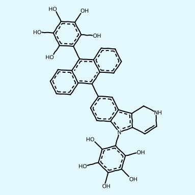 Oc1c(O)c(O)c(-c2c3ccccc3c(-c3ccc4c(c3)c3c(n4-c4c(O)c(O)c(O)c(O)c4O)C=CNC3)c3ccccc23)c(O)c1O